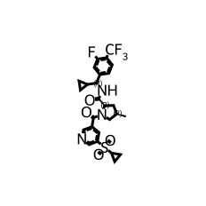 C[C@@H]1C[C@H](C(=O)N[C@@H](c2ccc(C(F)(F)F)c(F)c2)C2CC2)N(C(=O)c2cncc(S(=O)(=O)C3CC3)c2)C1